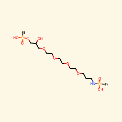 CCP(=O)(O)OCC(O)COCCOCCOCCOCCCNP(=O)(O)C(C)C